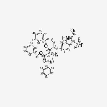 CCc1c(-c2ccc3c(C(F)(F)F)c(C=O)[nH]c3c2)nc(OCc2ccccc2)c(C(=O)OCc2ccccc2)c1OCc1ccccc1